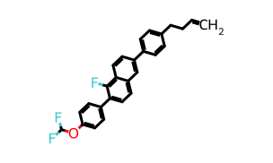 C=CCCc1ccc(-c2ccc3c(F)c(-c4ccc(OC(F)F)cc4)ccc3c2)cc1